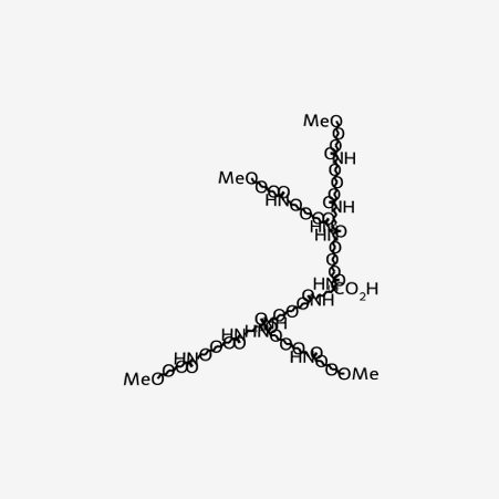 COCCOCCOCC(=O)NCCOCCOCCOCC(=O)NCCCC[C@H](NC(=O)COCCOCCOCCNC(=O)COCCOCCOC)C(=O)NCCOCCOCCOCC(=O)NCCCC[C@H](NC(=O)COCCOCCOCCNC(=O)[C@H](CCCCNC(=O)COCCOCCOCCNC(=O)COCCOCCOC)NC(=O)COCCOCCOCCNC(=O)COCCOCCOC)C(=O)O